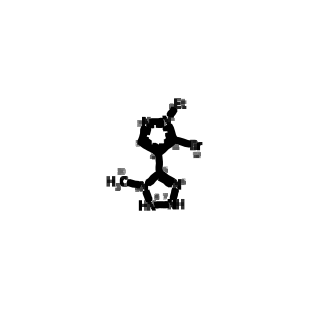 CCn1ncc(C2=NNNN2C)c1Br